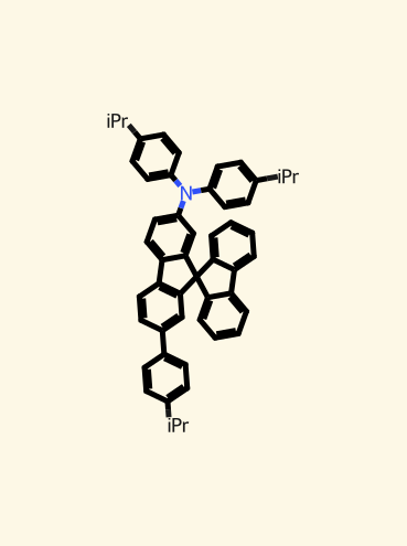 CC(C)c1ccc(-c2ccc3c(c2)C2(c4ccccc4-c4ccccc42)c2cc(N(c4ccc(C(C)C)cc4)c4ccc(C(C)C)cc4)ccc2-3)cc1